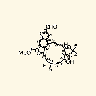 COCOc1cc2oc(C=O)cc2c2c1C(=O)O[C@@H](C)[C@H](C)/C=C\C(O)[C@H]1OC(C)(C)O[C@H]1C/C=C/2